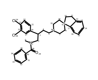 CN(CC(CCN1CCS2(CCc3ccccc32)CC1)c1ccc(Cl)c(Cl)c1)C(=O)c1ccccc1